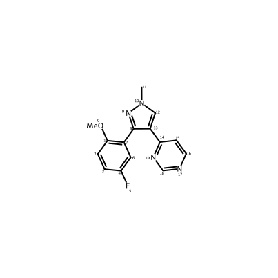 COc1ccc(F)cc1-c1nn(C)cc1-c1ccncn1